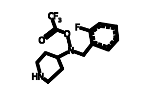 O=C(ON(Cc1ccccc1F)C1CCNCC1)C(F)(F)F